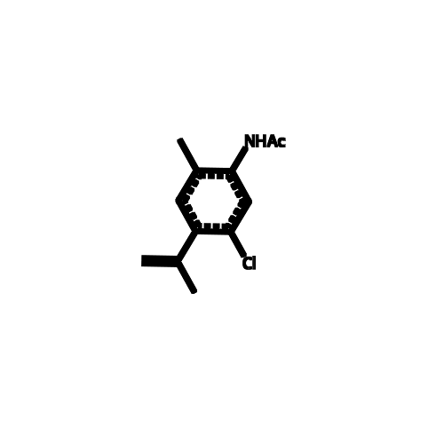 C=C(C)c1cc(C)c(NC(C)=O)cc1Cl